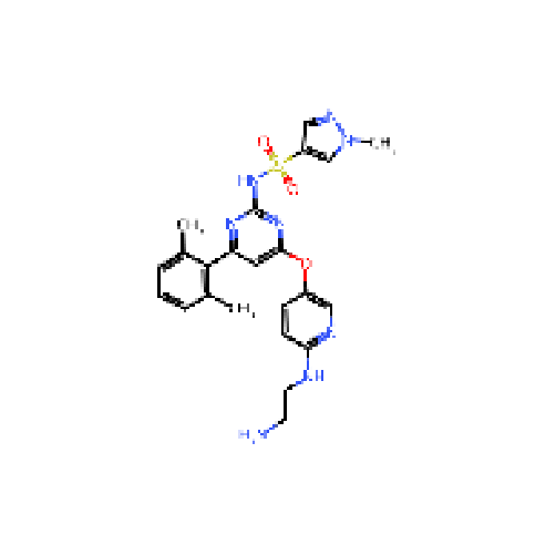 Cc1cccc(C)c1-c1cc(Oc2ccc(NCCN)nc2)nc(NS(=O)(=O)c2cnn(C)c2)n1